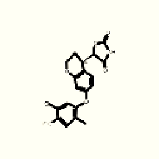 Cc1cc(C(F)(F)F)c(Cl)cc1Oc1ccc2c(c1)OCC[C@H]2C1SC(=O)NC1=O